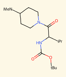 CNC1CCN(C(=O)C(NC(=O)OC(C)(C)C)C(C)C)CC1